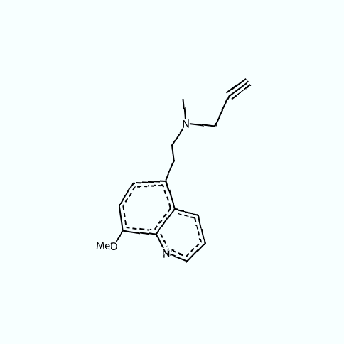 C#CCN(C)CCc1ccc(OC)c2ncccc12